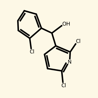 OC(c1ccccc1Cl)c1ccc(Cl)nc1Cl